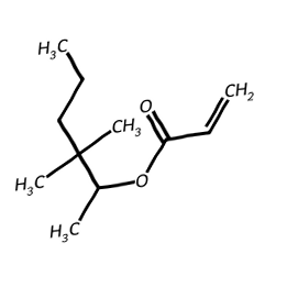 C=CC(=O)OC(C)C(C)(C)CCC